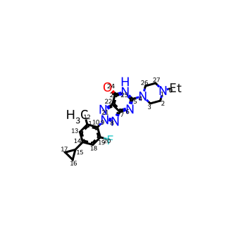 CCN1CCN(c2nc3nn(-c4c(C)cc(C5CC5)cc4F)nc3c(=O)[nH]2)CC1